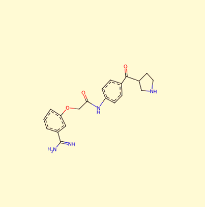 N=C(N)c1cccc(OCC(=O)Nc2ccc(C(=O)C3CCNC3)cc2)c1